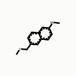 CNc1ccc2cc(COC)ccc2c1